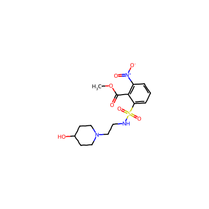 COC(=O)c1c([N+](=O)[O-])cccc1S(=O)(=O)NCCN1CCC(O)CC1